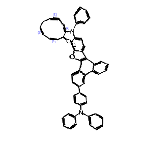 C=C1/C=C\C=C/C/C=C\C=C/1N(c1ccccc1)c1ccc2c(c1)oc1c3ccc(-c4ccc(N(c5ccccc5)c5ccccc5)cc4)cc3c3ccccc3c21